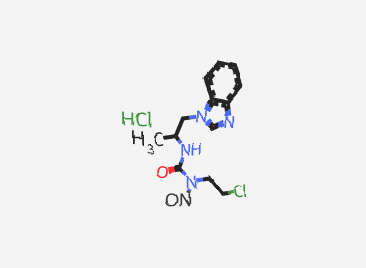 CC(Cn1cnc2ccccc21)NC(=O)N(CCCl)N=O.Cl